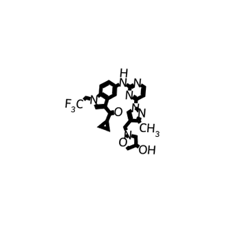 Cc1nn(-c2ccnc(Nc3ccc4c(c3)c(C(=O)C3CC3)cn4CC(F)(F)F)n2)cc1CN1CC(O)CO1